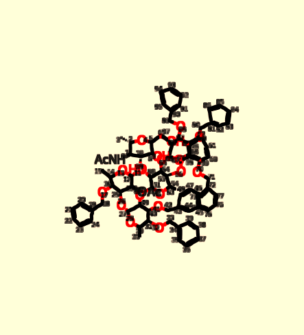 CC(=O)NC1[C@H](C)OC(CO)[C@@H](O)[C@@H]1O[C@@H]1OC(C)[C@H](OCc2ccccc2)[C@H](O[C@@H]2OC(C)[C@H](OCc3ccccc3)[C@H](OCc3ccccc3)C2O[C@@H]2OC(C)[C@H](OCc3ccccc3)[C@H](O[C@H]3O[C@@H](COCc4ccccc4)[C@@H](OCc4ccccc4)C(OCc4ccccc4)C3C)C2O)C1OC(C)=O